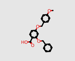 COc1ccc(COc2ccc(C(=O)O)c(OCc3ccccc3)c2)cc1